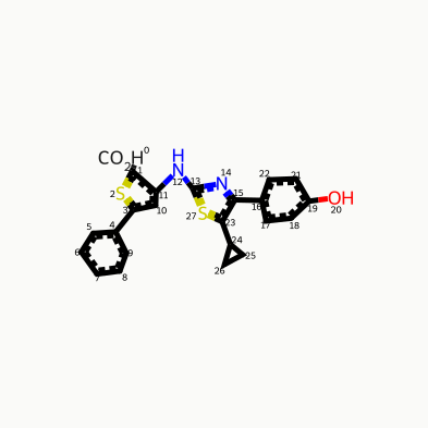 O=C(O)c1sc(-c2ccccc2)cc1Nc1nc(-c2ccc(O)cc2)c(C2CC2)s1